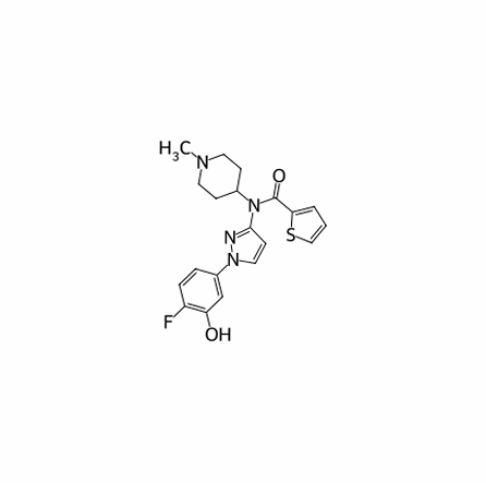 CN1CCC(N(C(=O)c2cccs2)c2ccn(-c3ccc(F)c(O)c3)n2)CC1